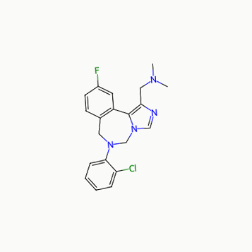 CN(C)Cc1ncn2c1-c1cc(F)ccc1CN(c1ccccc1Cl)C2